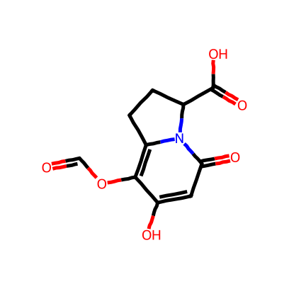 O=COc1c(O)cc(=O)n2c1CCC2C(=O)O